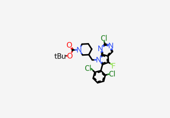 CC(C)(C)OC(=O)N1CCCC(Cn2c(-c3c(Cl)cccc3Cl)c(F)c3cnc(Cl)nc32)C1